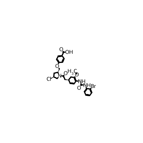 COC1=C(NC(=O)Nc2ccccc2Br)C=C[C@@H](CC(=O)N2C[C@@H](Cl)C[C@H]2COc2ccc(C(=O)O)cc2)C1